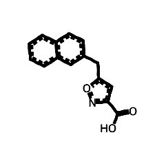 O=C(O)c1cc(Cc2ccc3ccccc3c2)on1